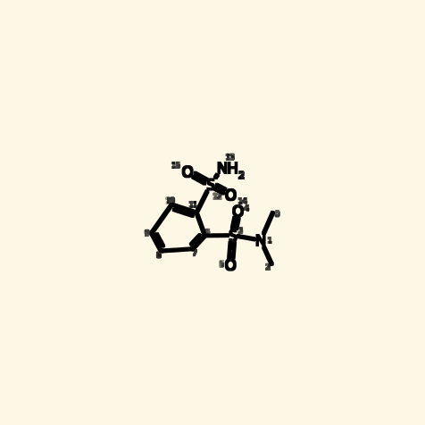 CN(C)S(=O)(=O)c1ccccc1S(N)(=O)=O